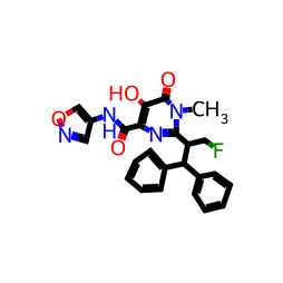 Cn1c(C(CF)C(c2ccccc2)c2ccccc2)nc(C(=O)Nc2cnoc2)c(O)c1=O